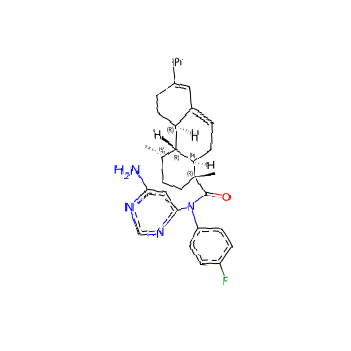 CC(C)C1=CC2=CC[C@@H]3[C@H]([C@@H](C)CC[C@@]3(C)C(=O)N(c3ccc(F)cc3)c3cc(N)ncn3)[C@H]2CC1